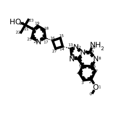 COc1ccc2c(c1)nc(N)n1nc([C@H]3C[C@@H](c4ccc(C(C)(C)O)cn4)C3)nc21